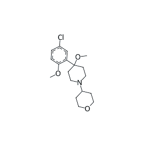 COc1ccc(Cl)cc1C1(OC)CCN(C2CCOCC2)CC1